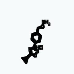 Cl.NOCc1ccc(-c2noc(C3CC3)n2)cc1